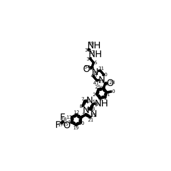 Cc1cc(Nc2nccn3c(-c4ccc(OC(F)F)cc4)cnc23)ccc1C(=O)N1CCN(C(=O)CCNC=N)CC1